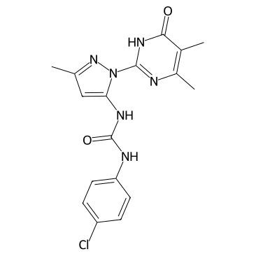 Cc1cc(NC(=O)Nc2ccc(Cl)cc2)n(-c2nc(C)c(C)c(=O)[nH]2)n1